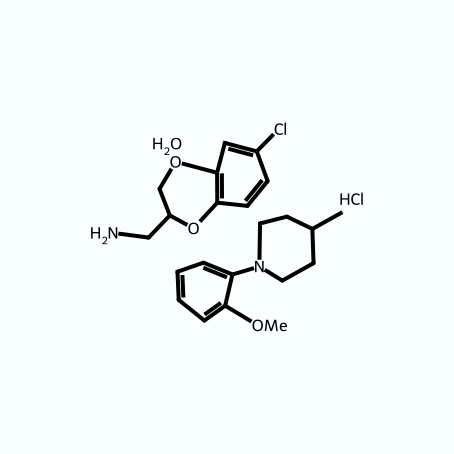 COc1ccccc1N1CCC(C)CC1.Cl.NCC1COc2cc(Cl)ccc2O1.O